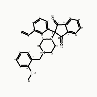 C=Cc1cccc(C2(N3CCN(Cc4ccccc4OC)CC3)C(=O)c3ccccc3C2=O)c1